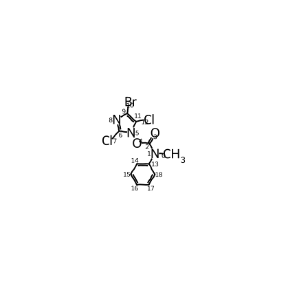 CN(C(=O)On1c(Cl)nc(Br)c1Cl)c1ccccc1